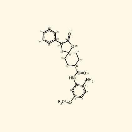 Nc1ccc(OC(F)(F)F)cc1NC(=O)[C@H]1CC[C@]2(CC1)CN(c1cccnc1)C(=O)O2